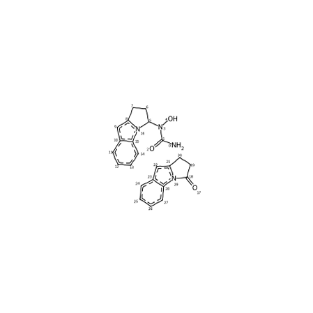 NC(=O)N(O)C1CCc2cc3ccccc3n21.O=C1CCc2cc3ccccc3n21